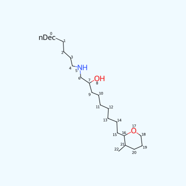 CCCCCCCCCCCCCCNCC(O)CCCCCCCC1OCCCC1C